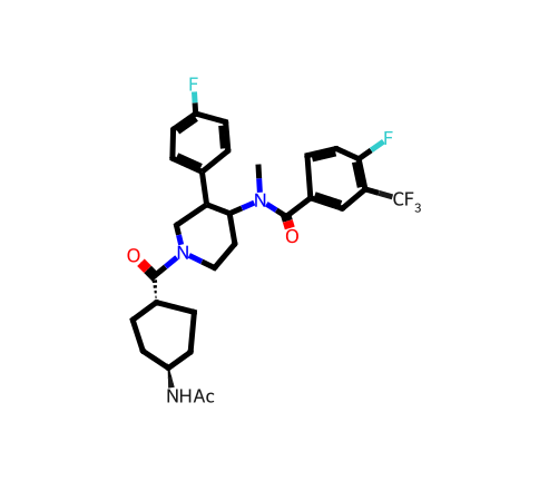 CC(=O)N[C@H]1CC[C@H](C(=O)N2CCC(N(C)C(=O)c3ccc(F)c(C(F)(F)F)c3)C(c3ccc(F)cc3)C2)CC1